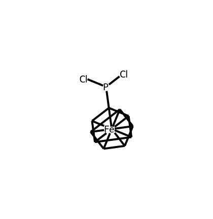 ClP(Cl)[C]12[CH]3[CH]4[CH]5[CH]1[Fe]45321678[CH]2[CH]1[CH]6[CH]7[CH]28